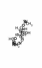 Cc1ncsc1-c1ccc([C@H](C)NC(=O)[C@@H]2C[C@@H](O)CN2C(=O)[C@@H](NC(=O)CN2CCC(CN3CCC(Nc4cc(-c5ccccc5O)nnc4N)CC3)CC2)C(C)(C)C)cc1